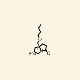 CCCCOC[C@@]12CCC(=O)N1C[C@H](F)C2